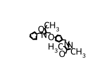 Cc1nn(Cc2ccc(OCc3nc(-c4ccccc4)oc3C)cc2)c(C)c1C=O